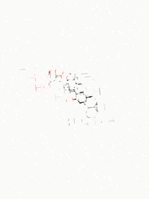 C=C[C@]1(C)[C@@H](O[C@@H]2O[C@H](C(=O)O)[C@@H](O)[C@H](O)[C@H]2C)CC[C@@]2(C)[C@@]1(C)CC[C@]1(C)[C@]2(C)C(=O)C=C2[C@@H]3C[C@@](C)(C(=O)O)CC[C@]3(C)CC[C@]21C